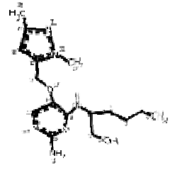 CCCCC(CO)Nc1nc(N)ncc1OCc1cc(C)nn1C